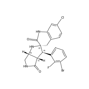 O=C1NC[C@@H]2N[C@]3(Cc4ccc(Cl)cc4NC3=O)[C@@H](c3cccc(Br)c3F)[C@H]12